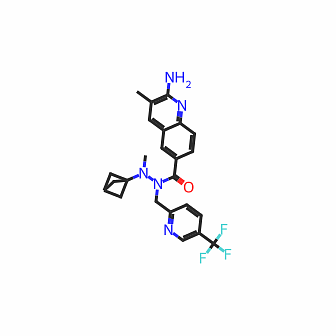 Cc1cc2cc(C(=O)N(Cc3ccc(C(F)(F)F)cn3)N(C)C34CC(C3)C4)ccc2nc1N